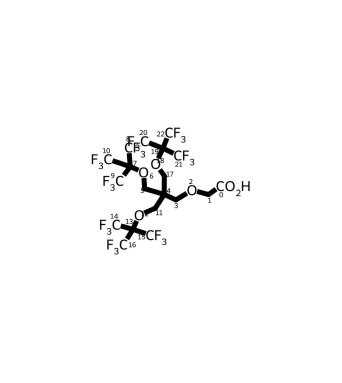 O=C(O)COCC(COC(C(F)(F)F)(C(F)(F)F)C(F)(F)F)(COC(C(F)(F)F)(C(F)(F)F)C(F)(F)F)COC(C(F)(F)F)(C(F)(F)F)C(F)(F)F